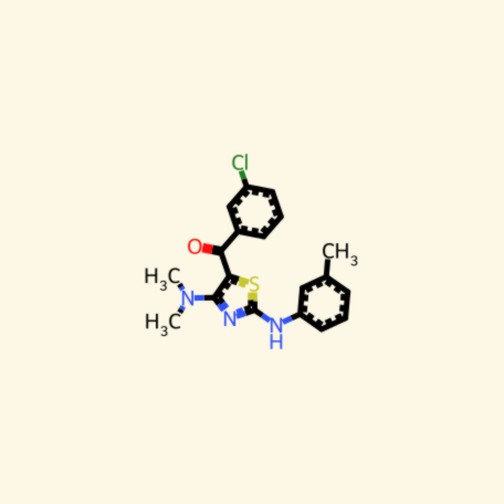 Cc1cccc(Nc2nc(N(C)C)c(C(=O)c3cccc(Cl)c3)s2)c1